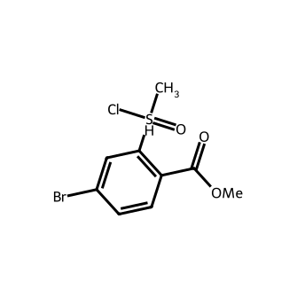 COC(=O)c1ccc(Br)cc1[SH](C)(=O)Cl